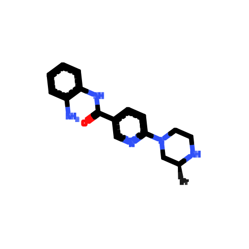 CC(C)[C@H]1CN(c2ccc(C(=O)Nc3ccccc3N)cn2)CCN1